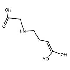 O=C(O)CNCCC=C(O)O